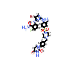 Cc1cc(S(=O)(=O)N2CCN(Cc3ccc(N4CCC(=O)NC4=O)cc3)CC2)ccc1Nc1ncc(Br)c(Nc2cccc(F)c2C(N)=O)n1